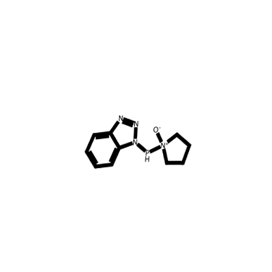 [O-][N+]1(Pn2nnc3ccccc32)CCCC1